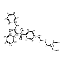 CCN(CC)CCCOc1ccc(S(=O)(=O)c2c(Cc3ccccc3)oc3ccccc23)cc1